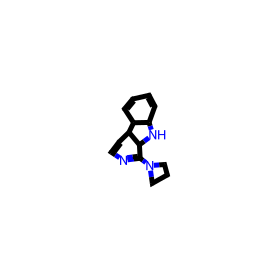 C1=CC2NC3C(N4CCC4)=NC=CC3C2C=C1